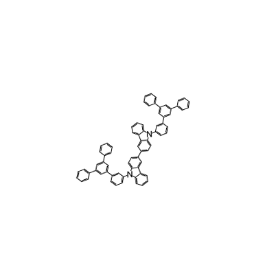 c1ccc(-c2cc(-c3ccccc3)cc(-c3cccc(-n4c5ccccc5c5cc(-c6ccc7c(c6)c6ccccc6n7-c6cccc(-c7cc(-c8ccccc8)cc(-c8ccccc8)c7)c6)ccc54)c3)c2)cc1